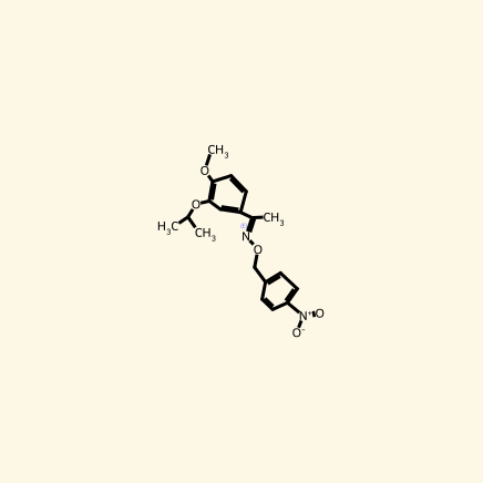 COc1ccc(/C(C)=N/OCc2ccc([N+](=O)[O-])cc2)cc1OC(C)C